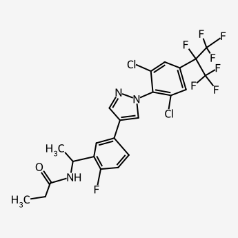 CCC(=O)NC(C)c1cc(-c2cnn(-c3c(Cl)cc(C(F)(C(F)(F)F)C(F)(F)F)cc3Cl)c2)ccc1F